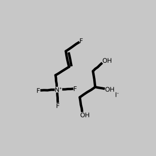 FC=CC[N+](F)(F)F.OCC(O)CO.[I-]